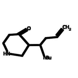 C=CCC(CCCC)C1CNCCC1=O